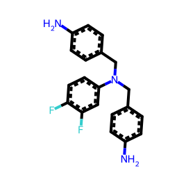 Nc1ccc(CN(Cc2ccc(N)cc2)c2ccc(F)c(F)c2)cc1